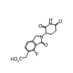 O=C(O)Cc1ccc2c(c1F)C(=O)N(C1CCC(=O)NC1=O)C2